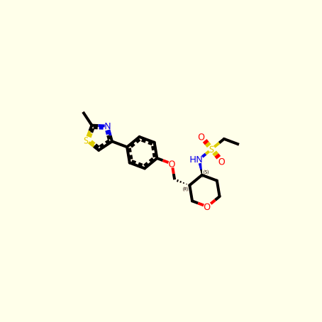 CCS(=O)(=O)N[C@H]1CCOC[C@@H]1COc1ccc(-c2csc(C)n2)cc1